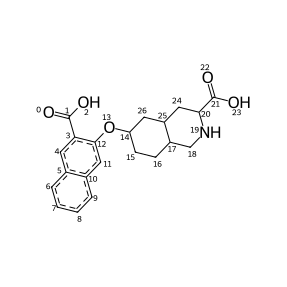 O=C(O)c1cc2ccccc2cc1OC1CCC2CNC(C(=O)O)CC2C1